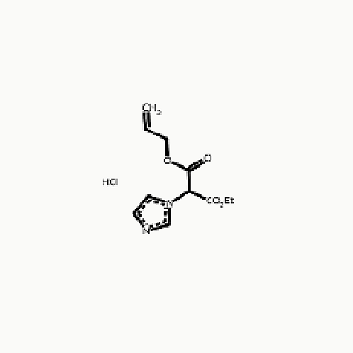 C=CCOC(=O)C(C(=O)OCC)n1ccnc1.Cl